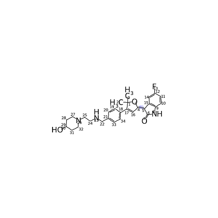 CC1(C)O/C(=C2/C(=O)Nc3ccc(F)cc32)C=C1c1ccc(CNCCN2CCC(O)CC2)cc1